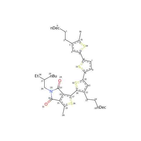 CCCCCCCCCCCCc1cc(-c2ccc(-c3cc(CCCCCCCCCCCC)c(-c4sc(C)c5c4C(=O)N(CC(CC)CCCC)C5=O)s3)s2)sc1C